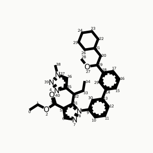 CCOC(=O)c1cnn(-c2cccc(-c3cccc(C(CC4CCCCC4)OC)c3)c2)c1C(CC)c1cn(C)nn1